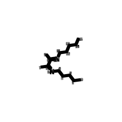 CCCCCN=C(C)C(C)=NCCCCC